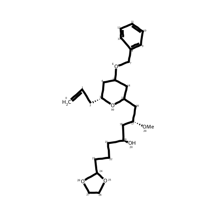 C=CC[C@@H]1CC(OCc2ccccc2)CC(C[C@@H](C[C@@H](O)CCCC2OCCO2)OC)O1